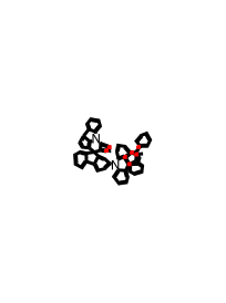 CC1(C)c2ccccc2-c2c(N(c3ccc4c(c3)C3(c5ccccc5-4)c4ccccc4-n4c5ccccc5c5cccc3c54)c3ccccc3-c3ccc(-c4ccccc4)cc3)cccc21